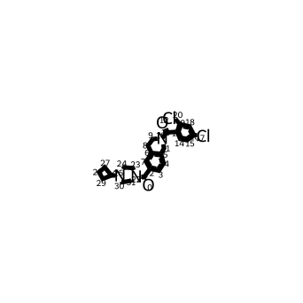 O=C(c1ccc2c(c1)CCN(C(=O)c1ccc(Cl)cc1Cl)C2)N1CCN(C2CCC2)CC1